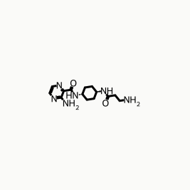 NCCC(=O)N[C@H]1CC[C@H](NC(=O)c2nccnc2N)CC1